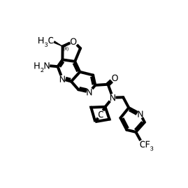 C[C@H]1OCc2c1c(N)nc1cnc(C(=O)N(Cc3ccc(C(F)(F)F)cn3)C34CC(C3)C4)cc21